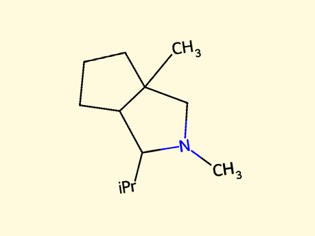 CC(C)C1C2CCCC2(C)CN1C